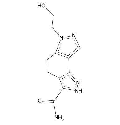 NC(=O)c1[nH]nc2c1CCc1c-2cnn1CCO